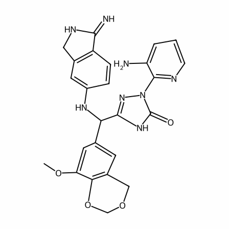 COc1cc(C(Nc2ccc3c(c2)CNC3=N)c2nn(-c3ncccc3N)c(=O)[nH]2)cc2c1OCOC2